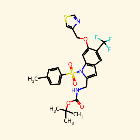 Cc1ccc(S(=O)(=O)n2c(CNC(=O)OC(C)(C)C)cc3cc(C(F)(F)F)c(OCc4cscn4)cc32)cc1